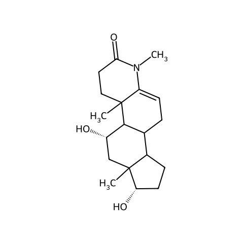 CN1C(=O)CCC2(C)C1=CCC1C2[C@@H](O)CC2(C)C1CC[C@@H]2O